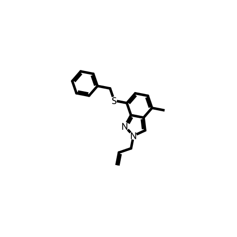 C=CCn1cc2c(C)ccc(SCc3ccccc3)c2n1